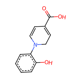 O=C(O)C1=CCN(c2ccccc2O)C=C1